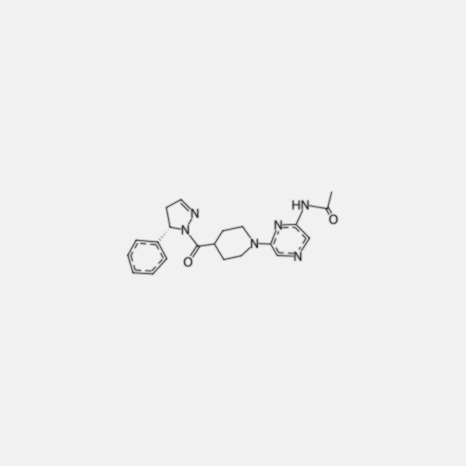 CC(=O)Nc1cncc(N2CCC(C(=O)N3N=CC[C@H]3c3ccccc3)CC2)n1